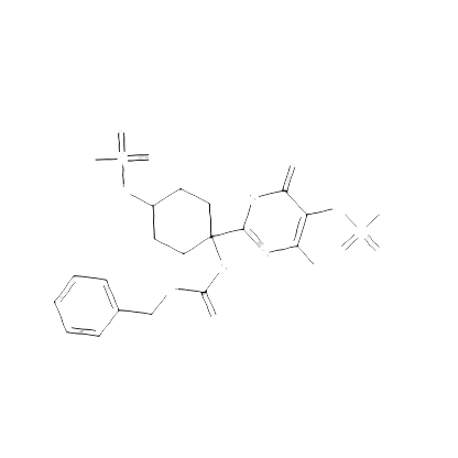 CCOC(=O)c1nc(C2(NC(=O)OCc3ccccc3)CCC(OS(C)(=O)=O)CC2)[nH]c(=O)c1OS(C)(=O)=O